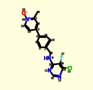 Cc1cc(-c2ccc(CNc3ncnc(Cl)c3F)cc2)cc[n+]1[O-]